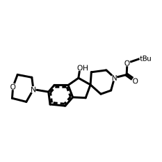 CC(C)(C)OC(=O)N1CCC2(CC1)Cc1ccc(N3CCOCC3)cc1C2O